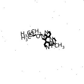 CN1CCN(c2ccnc3c2c(-c2ccnc(F)c2)cn3COCC[Si](C)(C)C)CC1